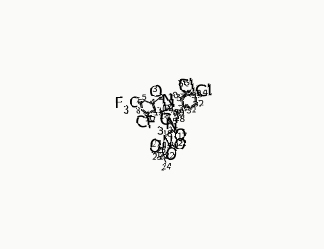 CN(C(=O)c1cc(C(F)(F)F)cc(C(F)(F)F)c1)[C@@H]1CCN(C(=O)CN2C(=O)OC(C)(C)C2=O)C[C@H]1c1ccc(Cl)c(Cl)c1